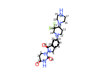 O=C1CCN(N2Cc3ccc(N4CCC(N5CCNCC5)C(F)(F)C4)cc3C2=O)C(=O)N1